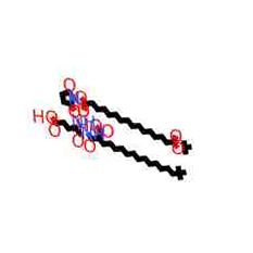 CC(C)(C)CCCCCCCCCCCCCC(C(=O)O)C(=O)NC(=O)[C@@H](N)CCC(=O)O.CC(C)(C)OC(=O)CCCCCCCCCCCCCCC(=O)ON1C(=O)CCC1=O